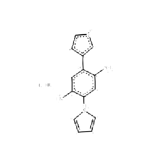 Cl.Cl.Nc1cc([SH]2C=CC=C2)c(N)cc1-c1ccsc1